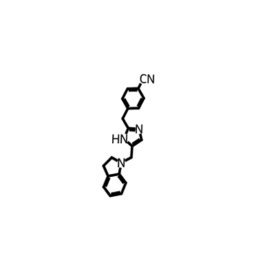 N#Cc1ccc(Cc2ncc(CN3CCc4ccccc43)[nH]2)cc1